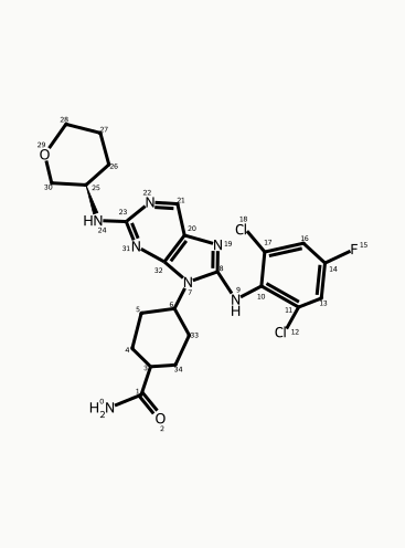 NC(=O)C1CCC(n2c(Nc3c(Cl)cc(F)cc3Cl)nc3cnc(N[C@@H]4CCCOC4)nc32)CC1